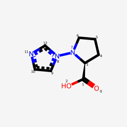 O=C(O)[C@@H]1CCCN1n1ccnc1